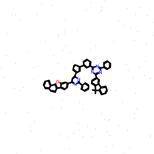 CC1(C)c2ccccc2-c2cc(-c3nc(-c4ccccc4)nc(-c4cccc(-c5cccc(-c6cc(-c7ccc8c(c7)oc7c9ccccc9ccc87)nc(-c7ccccc7)n6)c5)c4)n3)ccc21